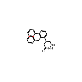 O=C1[C]C(c2cccc(-c3ccccc3)c2Cc2ccccc2)CNN1